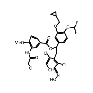 C\C=C(Cl)/C(CC(OC(=O)c1ccc(OC)c(NC(=O)CCl)c1)c1ccc(OC(F)F)c(OCC2CC2)c1)=C(Cl)\C=N\O